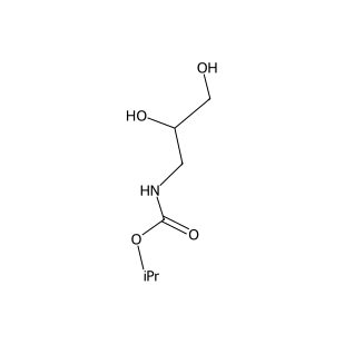 CC(C)OC(=O)NCC(O)CO